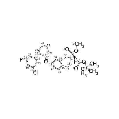 COC(=O)C1(NC(=O)OC(C)(C)C)CCc2ccc(Oc3ccccc3-c3cc(F)cc(Cl)c3)cc2C1